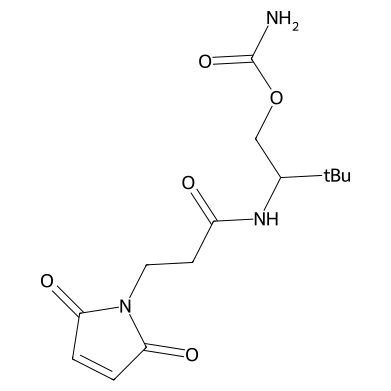 CC(C)(C)C(COC(N)=O)NC(=O)CCN1C(=O)C=CC1=O